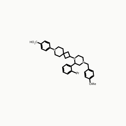 COc1ccc(CN2CCN(C3CC4(CCN(c5ccc(C(=O)O)cc5)CC4)C3)C(c3ccccc3C(C)C)C2)cc1